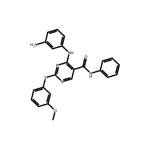 COc1cccc(Sc2ncc(C(=O)Nc3ccccc3)c(Nc3cccc(N)c3)n2)c1